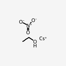 CCO.O=[N+]([O-])[O-].[Cs+]